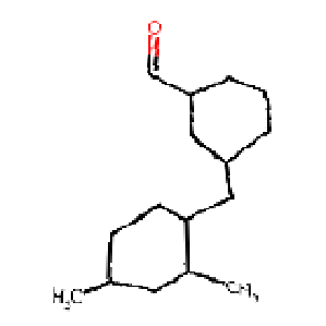 CC1CCC(CC2CCCC(C=O)C2)C(C)C1